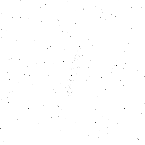 Cc1ccc(OCC(=O)N[C@H]2CC[C@H](NC(=O)COc3ccc(I)cc3)CC2)cc1